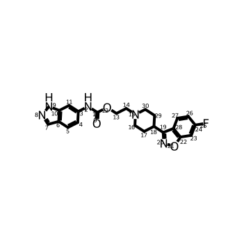 O=C(Nc1ccc2cn[nH]c2c1)OCCN1CCC(c2noc3cc(F)ccc23)CC1